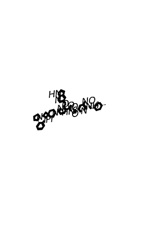 CC(C)c1ccccc1[C@@H]1CCCN1C1CC2(CCN(c3ccc(C(=O)NS(=O)(=O)c4cnc(NC[C@H]5CC[C@@H](C)CC5)c([N+](=O)[O-])c4)c(Oc4cnc5[nH]ccc5c4)n3)CC2)C1